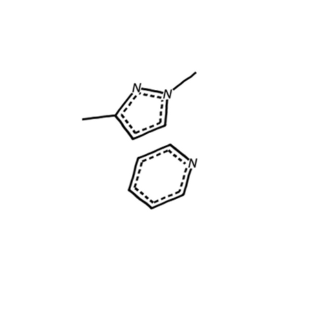 Cc1ccn(C)n1.c1ccncc1